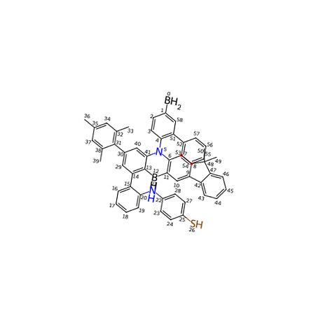 Bc1ccc(N2c3cc4c(cc3Bc3c(-c5ccccc5Nc5ccc(S)cc5)cc(-c5c(C)cc(C)cc5C)cc32)-c2ccccc2C4(C)C)c(-c2ccccc2)c1